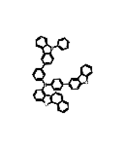 c1ccc(-n2c3ccccc3c3cc(-c4cccc(N(c5ccc(-c6ccc7oc8ccccc8c7c6)cc5)c5cccc6oc7c8ccccc8ccc7c56)c4)ccc32)cc1